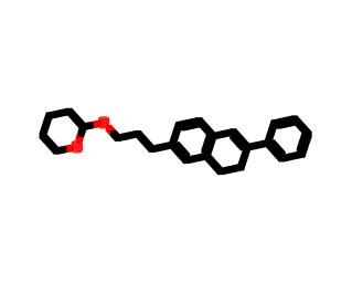 C1=C(c2ccccc2)CCc2cc(CCCOC3CCCCO3)ccc21